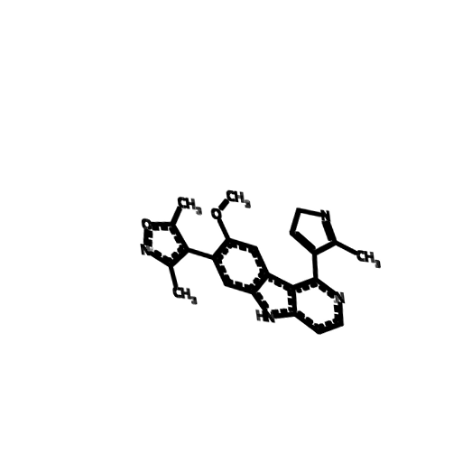 COc1cc2c(cc1-c1c(C)noc1C)[nH]c1ccnc(C3=CCN=C3C)c12